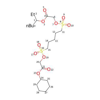 CCCCC(CC)OC(=O)COS(=O)(=O)CCCCCS(=O)(=O)OCC(=O)OC1CCCCC1